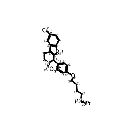 CCOC(=O)N1CCc2c([nH]c3ccc(Cl)cc23)C1c1ccc(OCCCCNC(C)C)cc1